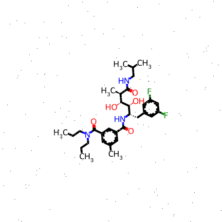 CCCN(CCC)C(=O)c1cc(C)cc(C(=O)N[C@@H](Cc2cc(F)cc(F)c2)[C@@H](O)[C@H](O)[C@@H](C)C(=O)NCC(C)C)c1